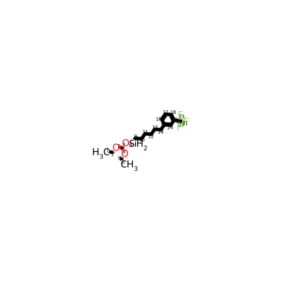 CCOC(OCC)O[SiH2]CCCCCCc1cccc(C(F)(F)F)c1